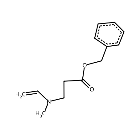 C=CN(C)CCC(=O)OCc1ccccc1